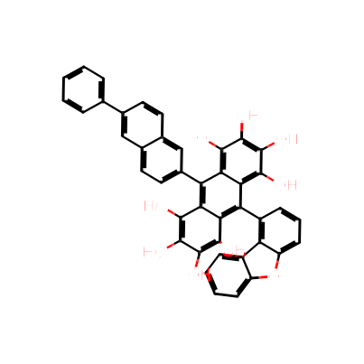 Oc1c(O)c(O)c2c(-c3cccc4oc5ccccc5c34)c3c(O)c(O)c(O)c(O)c3c(-c3ccc4cc(-c5ccccc5)ccc4c3)c2c1O